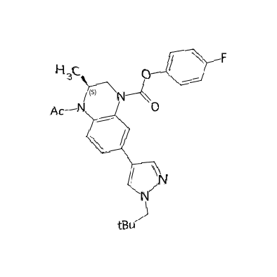 CC(=O)N1c2ccc(-c3cnn(CC(C)(C)C)c3)cc2N(C(=O)Oc2ccc(F)cc2)C[C@@H]1C